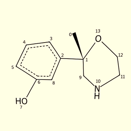 C[C@]1(c2cccc(O)c2)CNCCO1